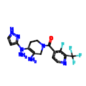 NC1=C(N(N)c2cc[nH]n2)CCN(C(=O)c2ccnc(C(F)(F)F)c2F)C1